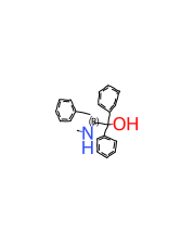 CN[C@H](Cc1ccccc1)C(O)(c1ccccc1)c1ccccc1